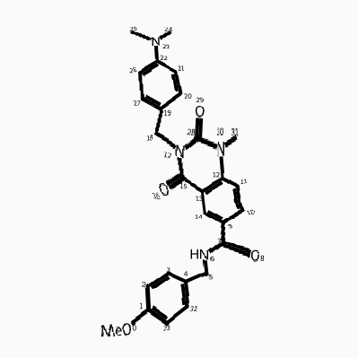 COc1ccc(CNC(=O)c2ccc3c(c2)c(=O)n(Cc2ccc(N(C)C)cc2)c(=O)n3C)cc1